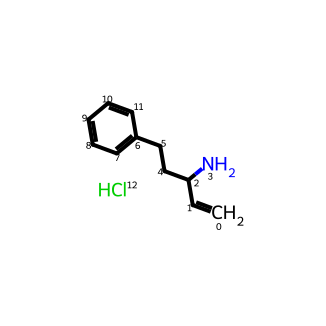 C=CC(N)CCc1ccccc1.Cl